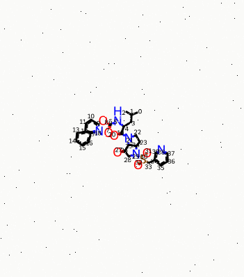 CC(C)CC(NC(=O)Oc1ccc2ccccc2n1)C(=O)N1CCC2C1C(=O)CN2S(=O)(=O)Cc1cccnc1